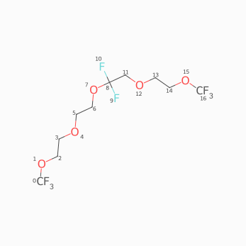 FC(F)(F)OCCOCCOC(F)(F)COCCOC(F)(F)F